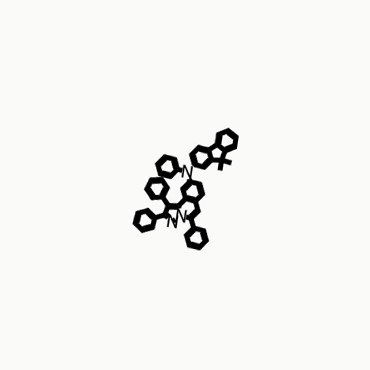 CC1(C)c2ccccc2-c2ccc(N(c3ccccc3)c3ccc4cc(-c5ccccc5)n5nc(-c6ccccc6)c(-c6ccccc6)c5c4c3)cc21